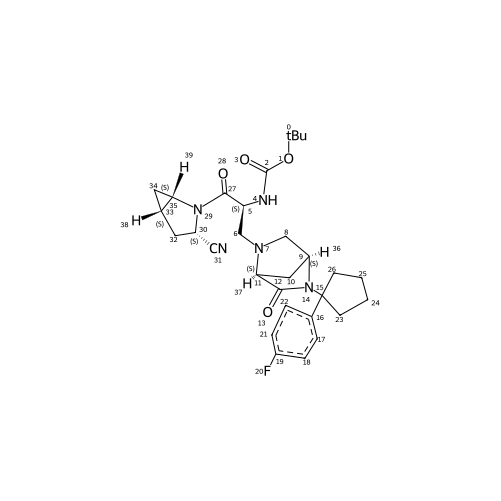 CC(C)(C)OC(=O)N[C@@H](CN1C[C@@H]2C[C@H]1C(=O)N2C1(c2ccc(F)cc2)CCCC1)C(=O)N1[C@H](C#N)C[C@@H]2C[C@@H]21